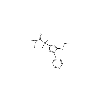 CCSc1cn(C(C)(C)C(=O)N(C)C)nc1-c1ccccc1